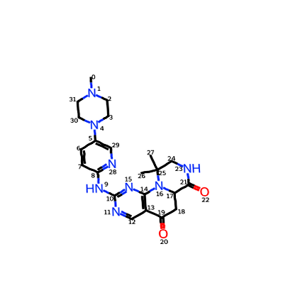 CN1CCN(c2ccc(Nc3ncc4c(n3)N3C(CC4=O)C(=O)NCC3(C)C)nc2)CC1